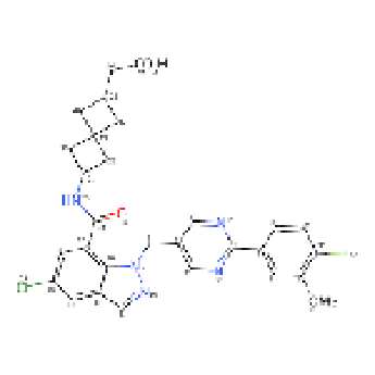 COc1cc(-c2ncc(Cn3ncc4cc(Cl)cc(C(=O)NC5CC6(CC(CC(=O)O)C6)C5)c43)cn2)ccc1F